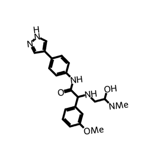 CNC(O)CNC(C(=O)Nc1ccc(-c2cn[nH]c2)cc1)c1cccc(OC)c1